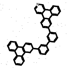 C1=CC(c2cccc(-c3cccc(-c4ccc5c6ccncc6c6ccccc6c5c4)c3)c2)Cc2c1c1ccccc1c1ccccc21